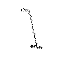 CCCCCCCCCCCCCCCCCCCCCCCCCN(O)CCC